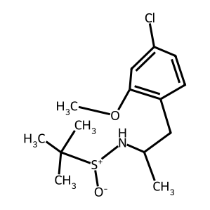 COc1cc(Cl)ccc1CC(C)N[S+]([O-])C(C)(C)C